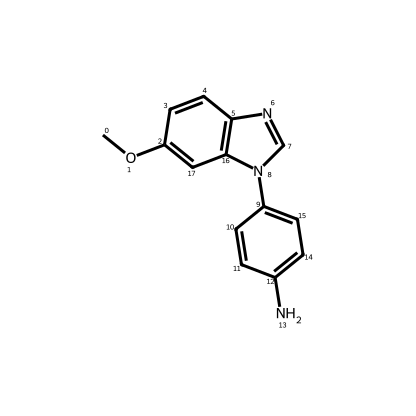 COc1ccc2ncn(-c3ccc(N)cc3)c2c1